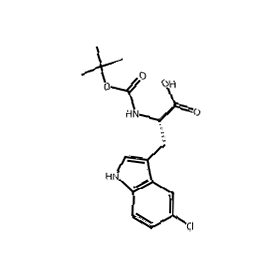 CC(C)(C)OC(=O)N[C@@H](Cc1c[nH]c2ccc(Cl)cc12)C(=O)O